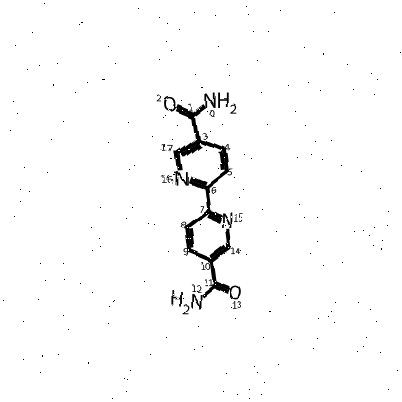 NC(=O)c1ccc(-c2ccc(C(N)=O)cn2)nc1